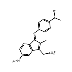 CC(=O)Nc1ccc2c(c1)C(CC(=O)O)=C(C)C2=Cc1ccc([S+](C)[O-])cc1